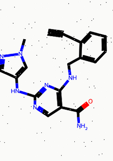 C#Cc1ccccc1CNc1nc(Nc2cnn(C)c2)ncc1C(N)=O